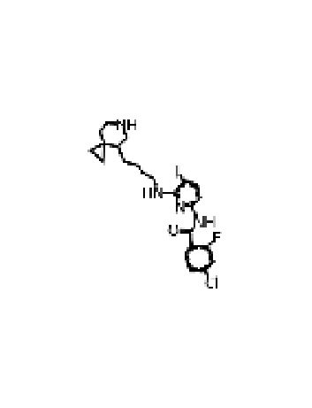 O=C(Nc1ccc(I)c(NCCCCC2CNCCC23CC3)n1)c1ccc(Cl)cc1F